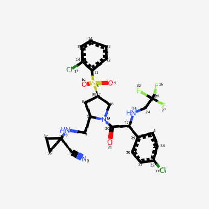 N#CC1(NCC2C[C@@H](S(=O)(=O)c3ccccc3Cl)CN2C(=O)C(NCC(F)(F)F)c2ccc(Cl)cc2)CC1